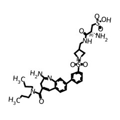 CCCN(CCC)C(=O)C1=Cc2ccc(-c3cccc(S(=O)(=O)N4CC(CNC(=O)[C@@H](N)CS(=O)(=O)O)C4)c3)cc2N=C(N)C1